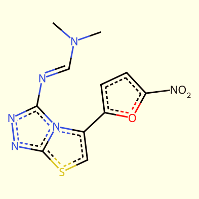 CN(C)C=Nc1nnc2scc(-c3ccc([N+](=O)[O-])o3)n12